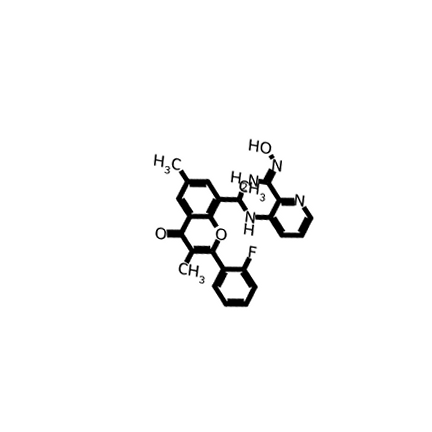 Cc1cc(C(C)Nc2cccnc2C(N)=NO)c2oc(-c3ccccc3F)c(C)c(=O)c2c1